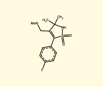 CNCC1=C(c2ccc(F)cc2)S(=O)(=O)NC1(C)C